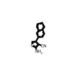 N#Cc1c(-c2ccc3ccccc3c2)csc1N